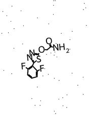 NC(=O)COc1nnc(-c2c(F)cccc2F)s1